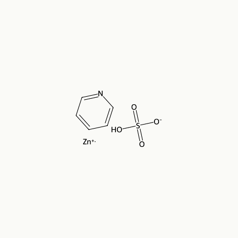 O=S(=O)([O-])O.[Zn+].c1ccncc1